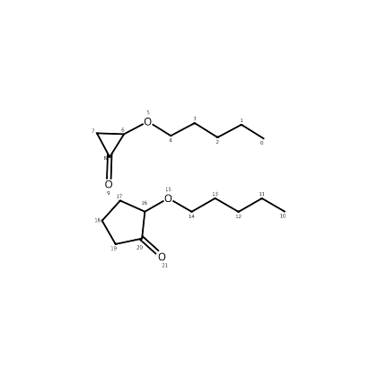 CCCCCOC1CC1=O.CCCCCOC1CCCC1=O